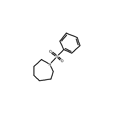 O=S(=O)(c1ccccc1)N1CCCCCC1